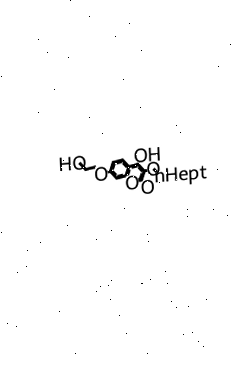 CCCCCCCOc1c(O)c2ccc(OCCO)cc2oc1=O